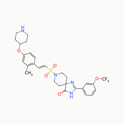 Cc1cc(OC2CCNCC2)ccc1C=CS(=O)(=O)N1CCC2(CC1)N=C(c1cccc(OC(F)(F)F)c1)NC2=O